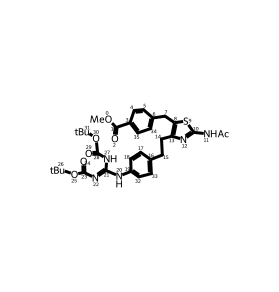 COC(=O)c1ccc(Cc2sc(NC(C)=O)nc2CCc2ccc(N/C(=N/C(=O)OC(C)(C)C)NC(=O)OC(C)(C)C)cc2)cc1